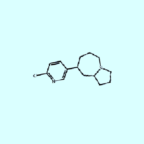 Clc1ccc(C2CCCN3CCCC3C2)cn1